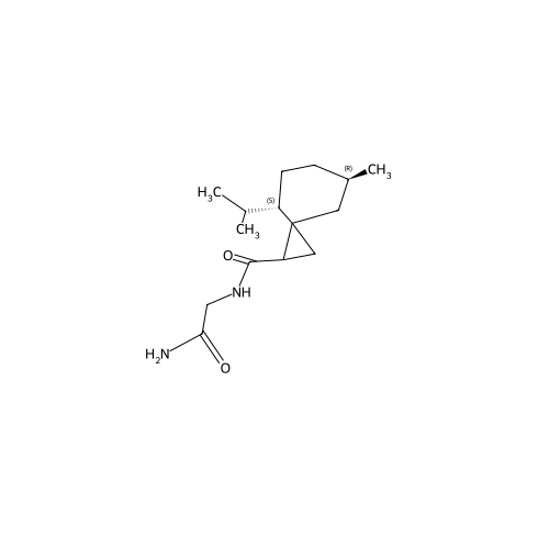 CC(C)[C@@H]1CC[C@@H](C)CC12CC2C(=O)NCC(N)=O